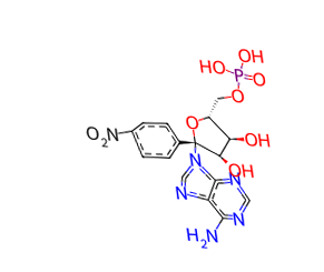 Nc1ncnc2c1ncn2[C@]1(c2ccc([N+](=O)[O-])cc2)O[C@H](COP(=O)(O)O)[C@@H](O)[C@H]1O